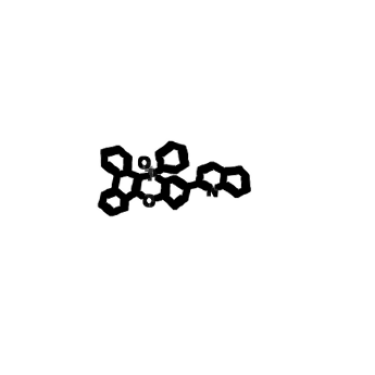 O=P1(c2ccccc2)c2cc(-c3ccc4ccccc4n3)ccc2Oc2c1c1ccccc1c1ccccc21